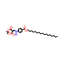 CCCCCCCCCCCCCCCCCOC(=O)c1ccc(NC=C2C(=O)OC(C)(C)OC2=O)cc1